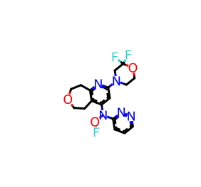 FON(c1cccnn1)c1cc(N2CCOC(F)(F)C2)nc2c1CCOCC2